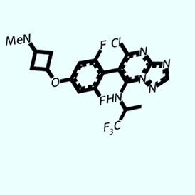 CNC1CC(Oc2cc(F)c(-c3c(Cl)nc4ncnn4c3NC(C)C(F)(F)F)c(F)c2)C1